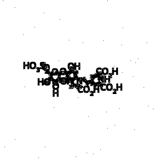 O=C(O)C1=C/C(=C/C=[N+]2/c3cc(O)c(O[C@@H]4O[C@H](COS(=O)(=O)O)[C@@H](O)[C@H](O)[C@H]4O)cc3C[C@H]2C(=O)O)C[C@@H](C(=O)O)N1